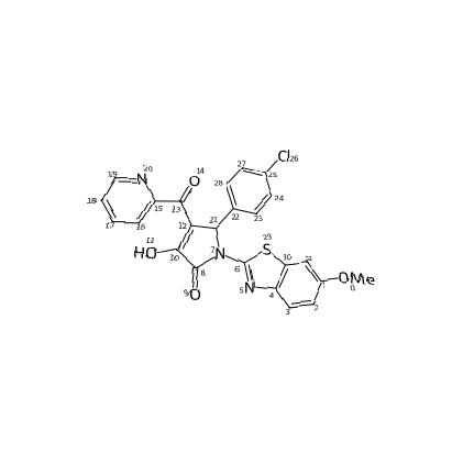 COc1ccc2nc(N3C(=O)C(O)=C(C(=O)c4ccccn4)C3c3ccc(Cl)cc3)sc2c1